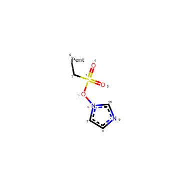 CCCC(C)CS(=O)(=O)On1ccnc1